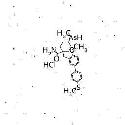 COc1ccc(-c2ccc(SC)cc2)cc1CC1(C(N)=O)CCC([AsH]C)CC1.Cl